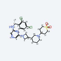 C[C@@H](Nc1cncc(N2CC([C@@H]3CCCN(C4CCS(=O)(=O)CC4)C3)C2)n1)c1ccc(Cl)cc1Cl